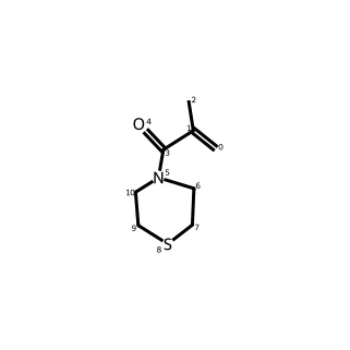 C=C(C)C(=O)N1CCSCC1